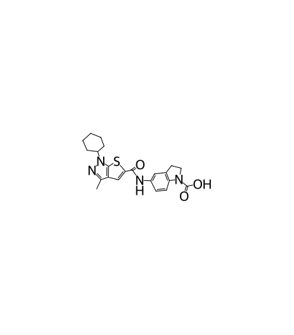 Cc1nn(C2CCCCC2)c2sc(C(=O)Nc3ccc4c(c3)CCN4C(=O)O)cc12